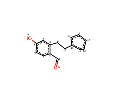 O=Cc1ccc(O)cc1CCc1ccccc1